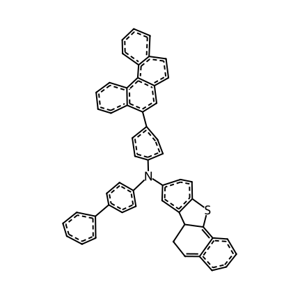 C1=c2ccccc2=C2Sc3ccc(N(c4ccc(-c5ccccc5)cc4)c4ccc(-c5cc6ccc7ccccc7c6c6ccccc56)cc4)cc3C2C1